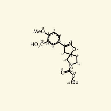 COc1ccc(C2=NOC3(CCN(C(=O)OC(C)(C)C)C3)C2)cc1C(=O)O